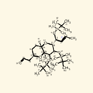 C/C=C/C(O[Si](C)(C)C(C)(C)C)[C@H]1O[C@H]2CC[C@H](CC=O)O[C@H]2C(O[Si](C)(C)C(C)(C)C)C1O[Si](C)(C)C(C)(C)C